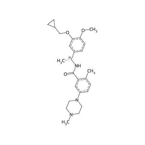 COc1ccc([C@@H](C)NC(=O)c2cc(N3CCN(C)CC3)ccc2C)cc1OCC1CC1